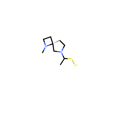 CC(SS)N1CC[C@]2(CCN2C)C1